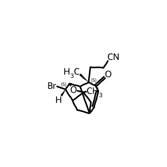 CC12CC34C=CC(=O)[C@@](C)(CCC#N)C3C(O1)[C@@H](Br)C2C4